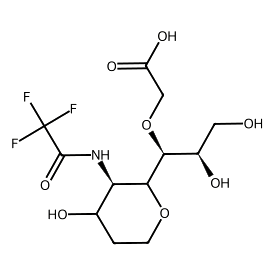 O=C(O)CO[C@H](C1OCCC(O)[C@H]1NC(=O)C(F)(F)F)[C@H](O)CO